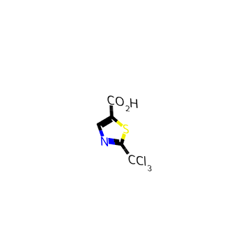 O=C(O)c1cnc(C(Cl)(Cl)Cl)s1